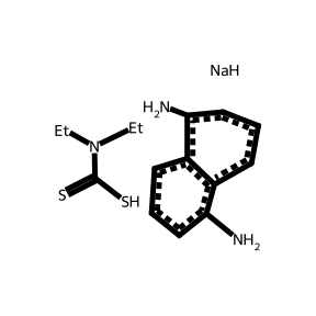 CCN(CC)C(=S)S.Nc1cccc2c(N)cccc12.[NaH]